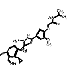 COc1cc(C2N=C(Nc3ccc(N)c(C=N)c3C3CC3)N(C)N2)ccc1OCC(=O)NC(C)C